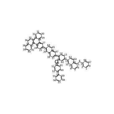 c1ccc(Cc2cccc3cc(-c4ccc(-c5ccc6cc(-c7ccc8c(c7)c7ccccc7c7ccc9ccccc9c78)ccc6c5)c(Oc5ccc(-c6ccccc6)cc5)c4)ccc23)cc1